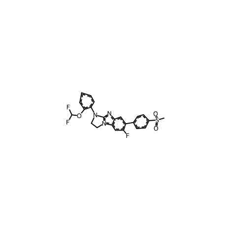 CS(=O)(=O)c1ccc(-c2cc3nc4n(c3cc2F)CCN4c2ccccc2OC(F)F)cc1